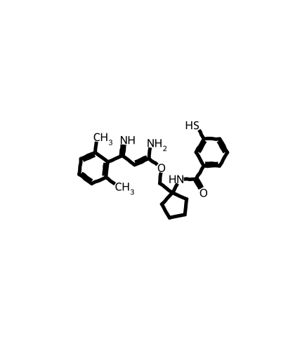 Cc1cccc(C)c1C(=N)/C=C(\N)OCC1(NC(=O)c2cccc(S)c2)CCCC1